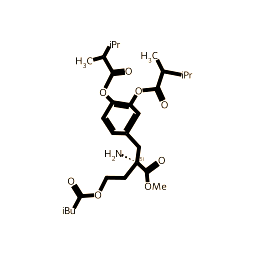 CCC(C)C(=O)OCC[C@@](N)(Cc1ccc(OC(=O)C(C)C(C)C)c(OC(=O)C(C)C(C)C)c1)C(=O)OC